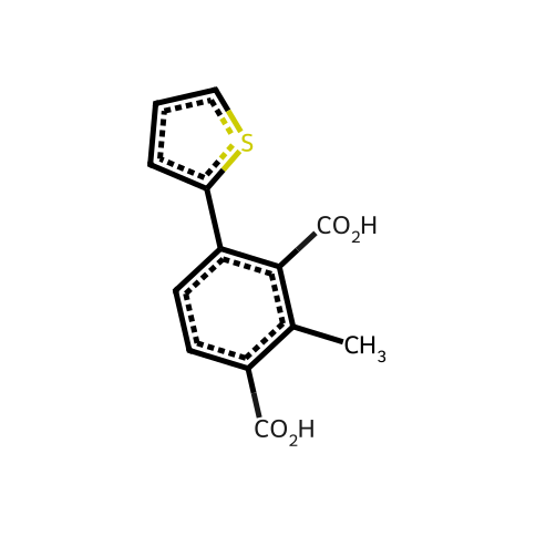 Cc1c(C(=O)O)ccc(-c2cccs2)c1C(=O)O